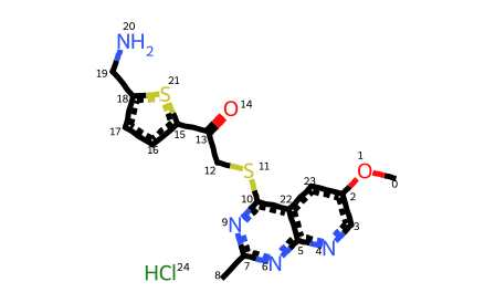 COc1cnc2nc(C)nc(SCC(=O)c3ccc(CN)s3)c2c1.Cl